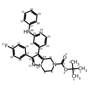 CC(C)(C)OC(=O)N1CCn2nc(-c3ccc(F)cc3)c(-c3ccnc(Nc4ccccc4)c3)c2C1